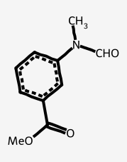 COC(=O)c1cccc(N(C)C=O)c1